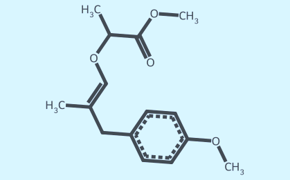 COC(=O)C(C)OC=C(C)Cc1ccc(OC)cc1